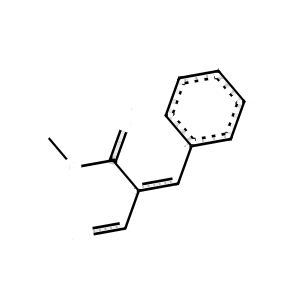 COC(=O)C([C]=O)=Cc1ccccc1